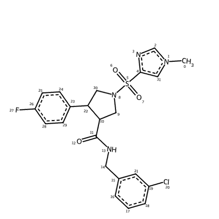 Cn1cnc(S(=O)(=O)N2CC(C(=O)NCc3cccc(Cl)c3)C(c3ccc(F)cc3)C2)c1